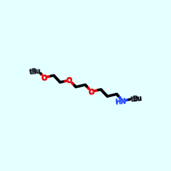 CC(C)(C)NCCCOCCOCCOC(C)(C)C